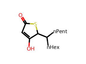 CCCCCCC(CCCCC)C1SC(=O)C=C1O